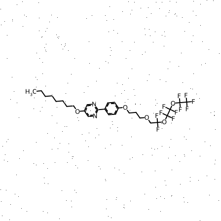 CCCCCCCCOc1cnc(-c2ccc(OCCCOCC(F)(F)OC(F)(F)C(F)(F)OC(F)(F)C(F)(F)F)cc2)nc1